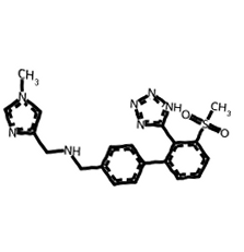 Cn1cnc(CNCc2ccc(-c3cccc(S(C)(=O)=O)c3-c3nnn[nH]3)cc2)c1